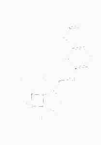 CC(=O)Nc1cccc(NC(=O)N2CC[C@@H]3[C@H]2C(=O)N3S(=O)(=O)O)c1